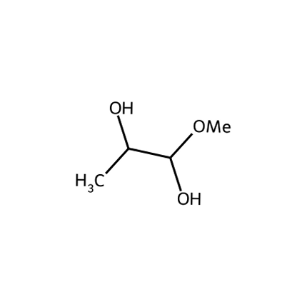 COC(O)C(C)O